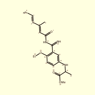 CCC/C=N/C(C)=C/C(=O)NC(=N)c1cc(NC(C)C(=O)OC)ccc1OCC